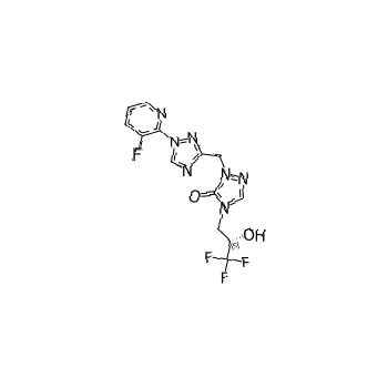 O=c1n(C[C@H](O)C(F)(F)F)cnn1Cc1ncn(-c2ncccc2F)n1